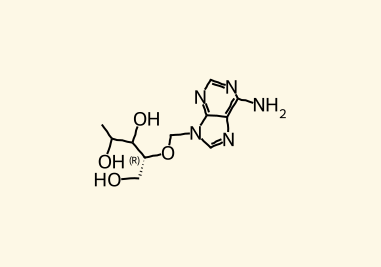 CC(O)C(O)[C@@H](CO)OCn1cnc2c(N)ncnc21